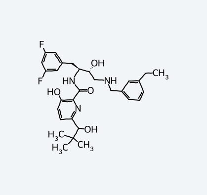 CCc1cccc(CNC[C@@H](O)[C@H](Cc2cc(F)cc(F)c2)NC(=O)c2nc(C(O)C(C)(C)C)ccc2O)c1